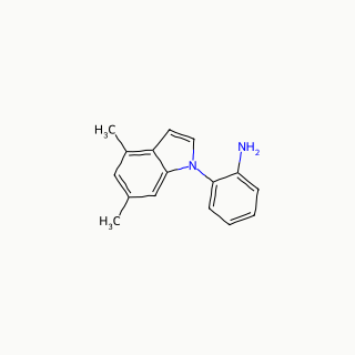 Cc1cc(C)c2ccn(-c3ccccc3N)c2c1